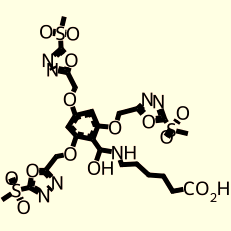 CS(=O)(=O)c1nnc(COc2cc(OCc3nnc(S(C)(=O)=O)o3)c(C(O)NCCCCCC(=O)O)c(OCc3nnc(S(C)(=O)=O)o3)c2)o1